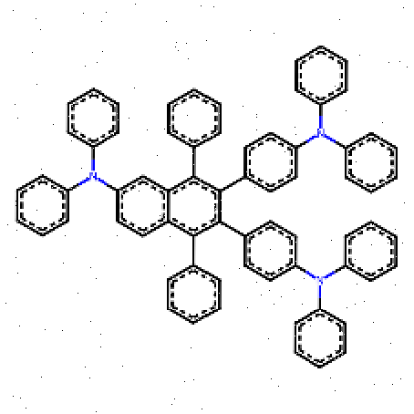 c1ccc(-c2c(-c3ccc(N(c4ccccc4)c4ccccc4)cc3)c(-c3ccc(N(c4ccccc4)c4ccccc4)cc3)c(-c3ccccc3)c3cc(N(c4ccccc4)c4ccccc4)ccc23)cc1